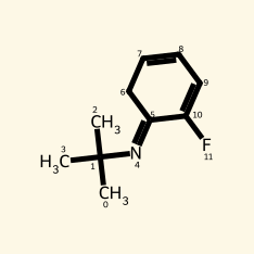 CC(C)(C)N=C1CC=CC=C1F